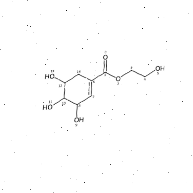 O=C(OCCO)C1=CC(O)C(O)C(O)C1